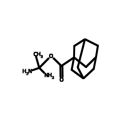 CC(N)(N)OC(=O)C12CC3CC(CC(C3)C1)C2